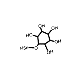 OC1C(O)C(O)C(O[SeH])C(O)C1O